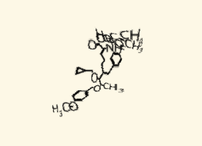 COc1ccc(COC(C)C(OCC2CC2)C(CCC=C(NC(=O)OC(C)(C)C)C(=O)O)Cc2ccc(F)cc2)cc1